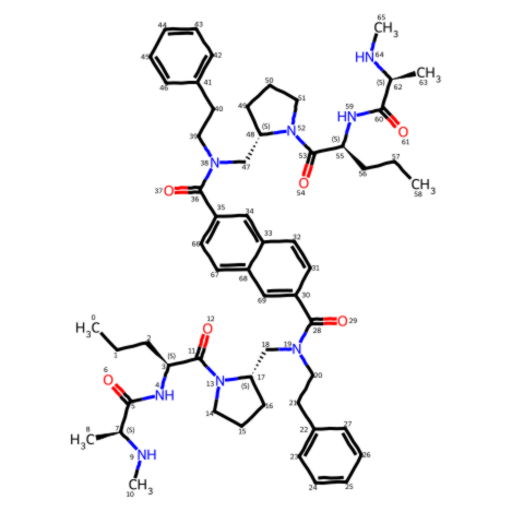 CCC[C@H](NC(=O)[C@H](C)NC)C(=O)N1CCC[C@H]1CN(CCc1ccccc1)C(=O)c1ccc2cc(C(=O)N(CCc3ccccc3)C[C@@H]3CCCN3C(=O)[C@H](CCC)NC(=O)[C@H](C)NC)ccc2c1